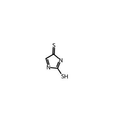 S=C1C=NC(S)=N1